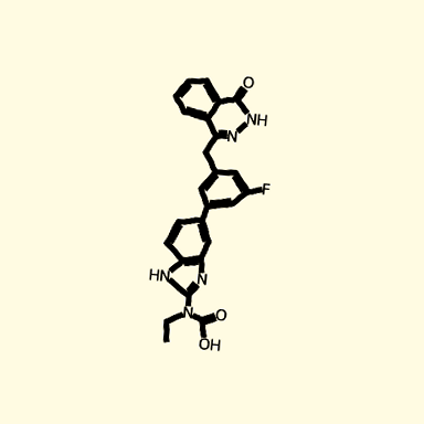 CCN(C(=O)O)c1nc2cc(-c3cc(F)cc(Cc4n[nH]c(=O)c5ccccc45)c3)ccc2[nH]1